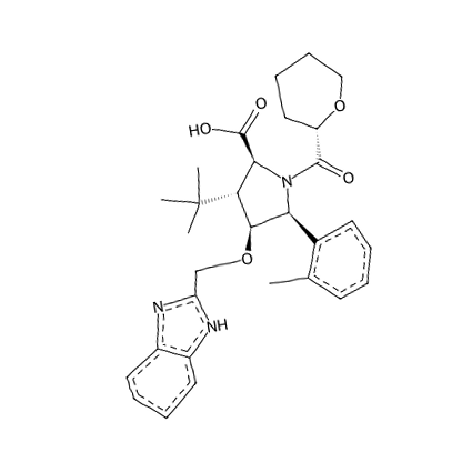 Cc1ccccc1[C@H]1[C@@H](OCc2nc3ccccc3[nH]2)[C@H](C(C)(C)C)[C@@H](C(=O)O)N1C(=O)[C@@H]1CCCCO1